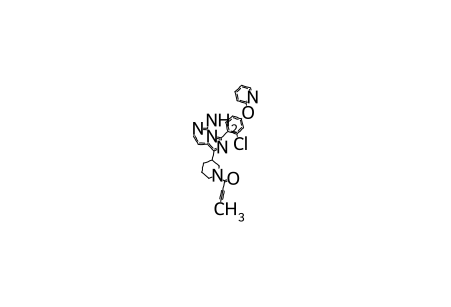 CC#CC(=O)N1CCCC(c2nc(-c3ccc(Oc4ccccn4)cc3Cl)n3c(N)nccc23)C1